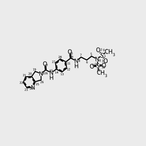 CS(=O)(=O)N(CCCNC(=O)c1ccc(NC(=O)N2Cc3cccnc3C2)cc1)S(C)(=O)=O